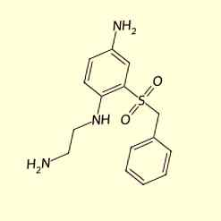 NCCNc1ccc(N)cc1S(=O)(=O)Cc1ccccc1